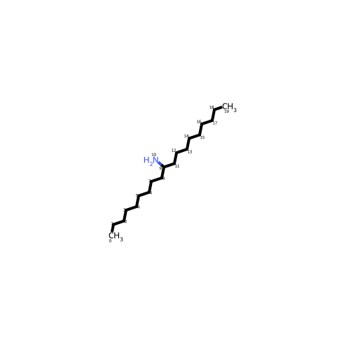 CCCCCCCCCC(N)CCCCCCCCC